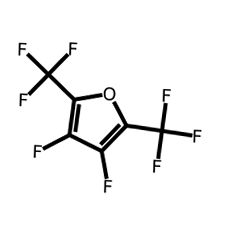 Fc1c(C(F)(F)F)oc(C(F)(F)F)c1F